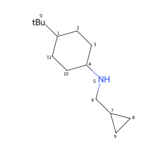 CC(C)(C)C1CCC(NCC2CC2)CC1